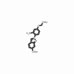 COCOc1ccc(-n2cc3ccc(OC)cc3n2)c(N)c1